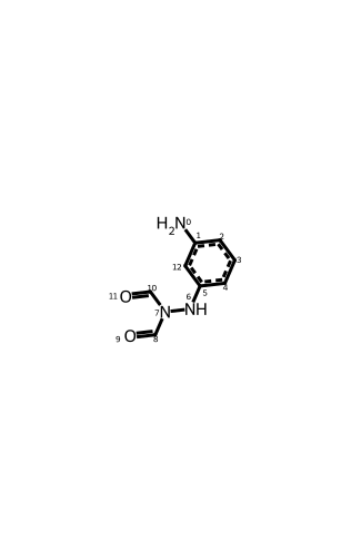 Nc1cccc(NN(C=O)C=O)c1